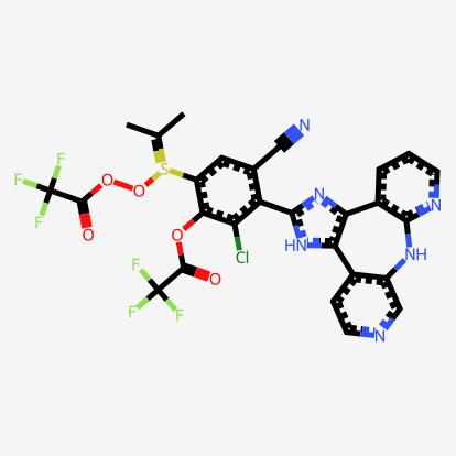 CC(C)=S(OOC(=O)C(F)(F)F)c1cc(C#N)c(-c2nc3c([nH]2)-c2ccncc2Nc2ncccc2-3)c(Cl)c1OC(=O)C(F)(F)F